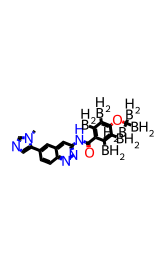 Bc1c(B)c(C(=O)Nc2cc3cc(-c4cncn4C)ccc3nn2)c(B)c(B)c1OC(B)(B)B